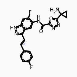 NC1(c2nnc(C(=O)Nc3cc4c(/C=C/c5ccc(F)cc5)n[nH]c4cc3F)o2)CC1